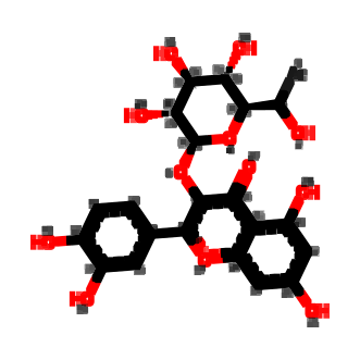 CC(=O)C(O)[C@H]1O[C@@H](Oc2c(-c3ccc(O)c(O)c3)oc3cc(O)cc(O)c3c2=O)[C@H](O)[C@@H](O)[C@@H]1O